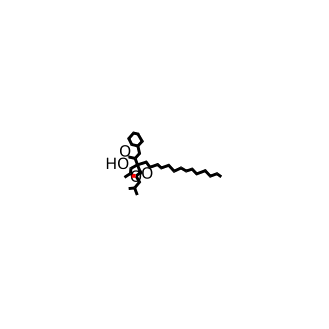 CCCCCCCCCCCCCCC(CC(C)C)(C(=O)OCC(C)C)C(CC1CCCCC1)C(=O)O